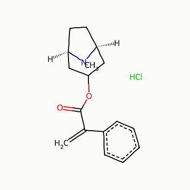 C=C(C(=O)OC1C[C@H]2CC[C@@H](C1)N2C)c1ccccc1.Cl